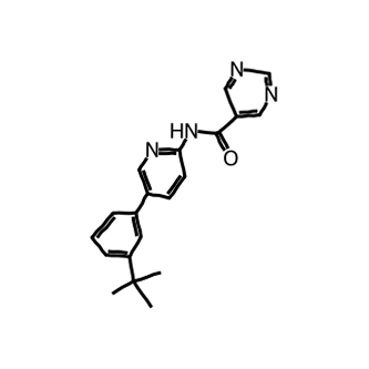 CC(C)(C)c1cccc(-c2ccc(NC(=O)c3cncnc3)nc2)c1